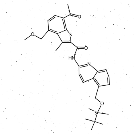 COCc1ccc(C(C)=O)c2sc(C(=O)Nc3ccc4c(CO[Si](C)(C)C(C)(C)C)cccc4n3)c(C)c12